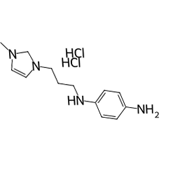 CN1C=CN(CCCNc2ccc(N)cc2)C1.Cl.Cl